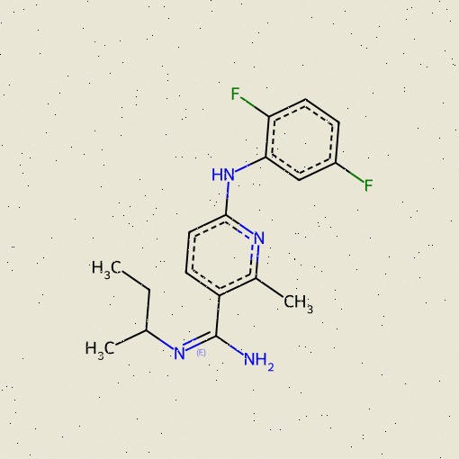 CCC(C)/N=C(/N)c1ccc(Nc2cc(F)ccc2F)nc1C